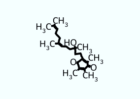 CC(C)=CCCC(C)=CCCC(C)(O)CCC1=C(C)C(=O)C(C)=C(C)C1=O